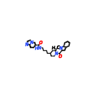 Cn1c(C(=O)N2CCC(CCCCNC(=O)c3ccc4nccn4c3)CC2)cc2ccccc21